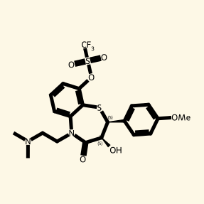 COc1ccc([C@@H]2Sc3c(OS(=O)(=O)C(F)(F)F)cccc3N(CCN(C)C)C(=O)[C@@H]2O)cc1